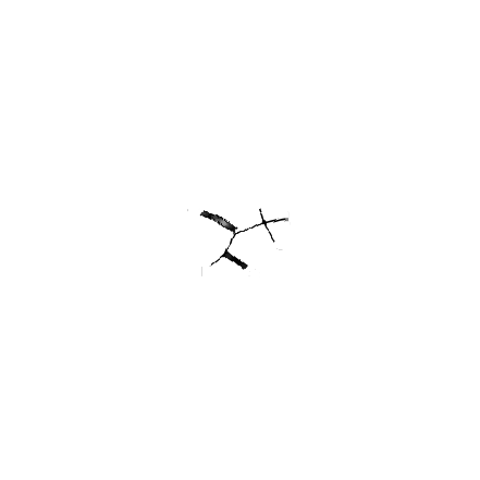 O=C=C(C(=O)F)C(F)(F)F